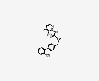 Cc1ccnc(NC(=O)C2CC2Cc2ccc(-c3ccccc3C#N)cc2)c1[N+](=O)[O-]